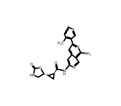 Cc1ccncc1-c1cc2cc(NC(=O)[C@H]3CC3[C@@H]3CNC(=O)O3)ncc2c(N)n1